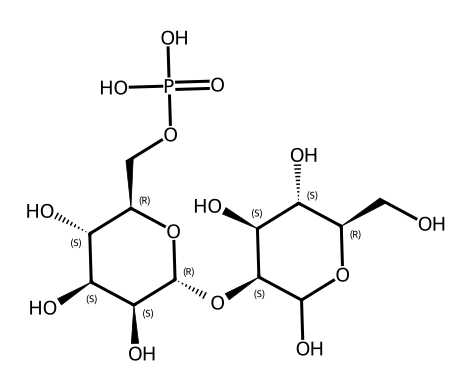 O=P(O)(O)OC[C@H]1O[C@H](O[C@@H]2C(O)O[C@H](CO)[C@@H](O)[C@@H]2O)[C@@H](O)[C@@H](O)[C@@H]1O